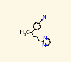 CC(CCCc1ncccn1)c1ccc(C#N)cc1